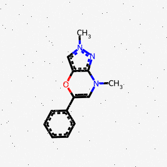 CN1C=C(c2ccccc2)Oc2cn(C)nc21